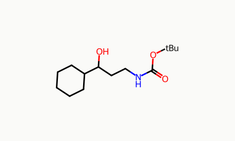 CC(C)(C)OC(=O)NCCC(O)C1CCCCC1